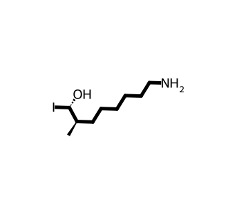 C[C@H](CCCCCCN)[C@@H](O)I